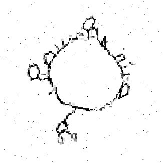 CC[C@H](C)[C@H]1CN[C@@H](CC2CCCCC2)C(C)NCC2[C@H](C)CN2[C@@H](C(C)C)C(C)NC2(CCCC2)CNCCNC=CC(CCc2ccc(C(F)(F)F)c(Cl)c2)=NC=CN(C)C=C(CC2CCCCC2)N(C)C=C2CCCN2[C@@H](C)C(C)N1